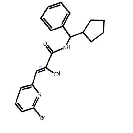 N#C/C(=C\c1cccc(Br)n1)C(=O)NC(c1ccccc1)C1CCCC1